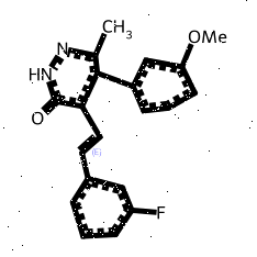 COc1cccc(-c2c(C)n[nH]c(=O)c2/C=C/c2cccc(F)c2)c1